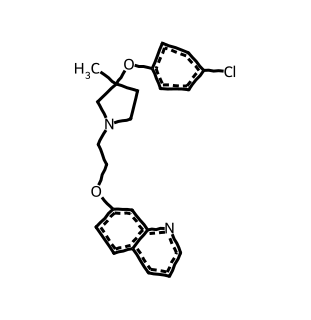 CC1(Oc2ccc(Cl)cc2)CCN(CCOc2ccc3cccnc3c2)C1